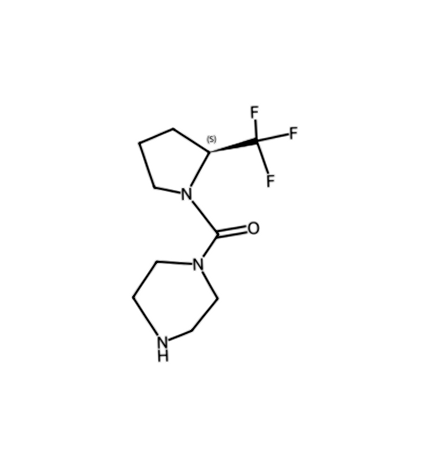 O=C(N1CCNCC1)N1CCC[C@H]1C(F)(F)F